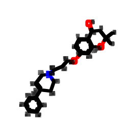 CC1(C)CC(=O)c2ccc(OCCCN3CC=C(c4ccccc4)CC3)cc2O1